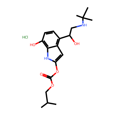 CC(C)COC(=O)Oc1cc2c(C(O)CNC(C)(C)C)ccc(O)c2[nH]1.Cl